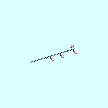 CCCCCCCCCC=CCC(C=O)CCCCCC(C=O)CCCC=CCC(C=O)C(C)C=O